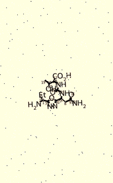 CC[C@H](N)c1nnc([C@H](CC(N)=O)NC(=O)N[C@H](C(=O)O)C(C)O)o1